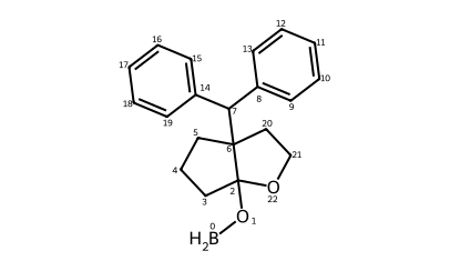 BOC12CCCC1(C(c1ccccc1)c1ccccc1)CCO2